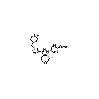 COc1ncc(-n2nc(-c3cnn(CC4CCNCC4)c3)c3c2NCOCC3)cn1